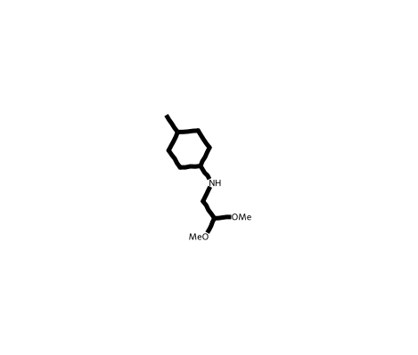 COC(CNC1CCC(C)CC1)OC